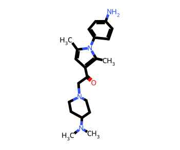 Cc1cc(C(=O)CN2CCC(N(C)C)CC2)c(C)n1-c1ccc(N)cc1